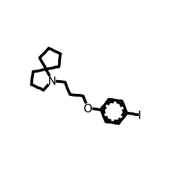 Ic1ccc(OCCCN2CCCC23CCCC3)cc1